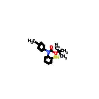 Cc1ccc(N(C(=O)OC(C)(C)C)c2ccccc2S)cc1